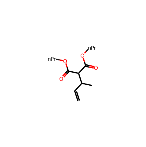 C=CC(C)C(C(=O)OCCC)C(=O)OCCC